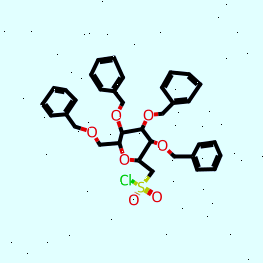 O=S(=O)(Cl)CC1OC(COCc2ccccc2)C(OCc2ccccc2)C(OCc2ccccc2)C1OCc1ccccc1